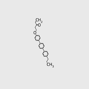 C=CC(=O)CCOc1ccc(-c2ccc(-c3ccc(CCC)cc3)cc2)cc1